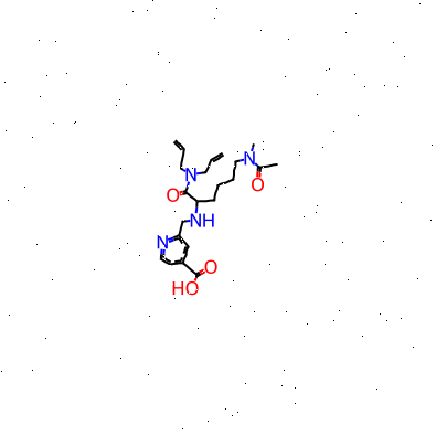 C=CCN(CC=C)C(=O)C(CCCCN(C)C(C)=O)NCc1cc(C(=O)O)ccn1